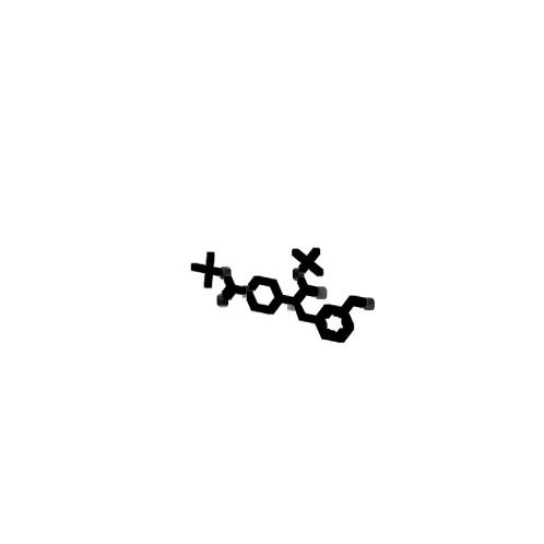 CC(C)(C)OC(=O)[C@@H](Cc1cccc(C=O)c1)C1CCN(C(=O)OC(C)(C)C)CC1